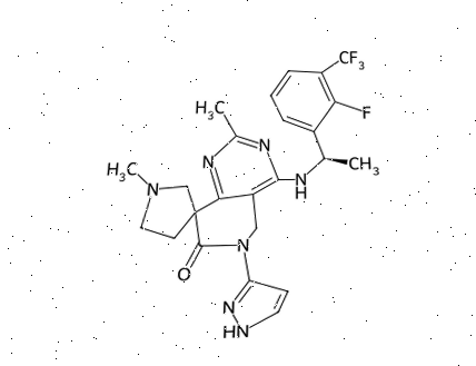 Cc1nc(N[C@H](C)c2cccc(C(F)(F)F)c2F)c2c(n1)C1(CCN(C)C1)C(=O)N(c1cc[nH]n1)C2